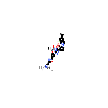 CN(C)C/C=C/C(=O)NCc1cccc(Nc2nc(-c3cccc(-n4ccc5cc(C6CC6)cc(F)c5c4=O)c3CO)cn(C)c2=O)c1